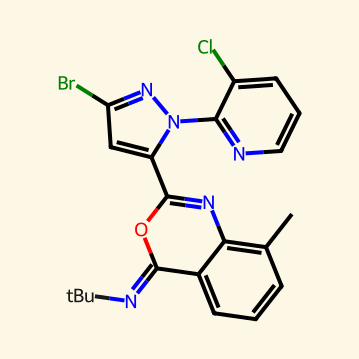 Cc1cccc2c(=NC(C)(C)C)oc(-c3cc(Br)nn3-c3ncccc3Cl)nc12